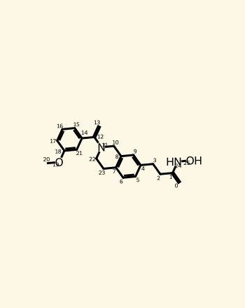 C=C(CCc1ccc2c(c1)CN(C(=C)c1cccc(OC)c1)CC2)NO